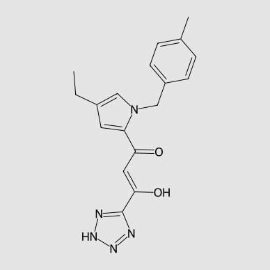 CCc1cc(C(=O)C=C(O)c2nn[nH]n2)n(Cc2ccc(C)cc2)c1